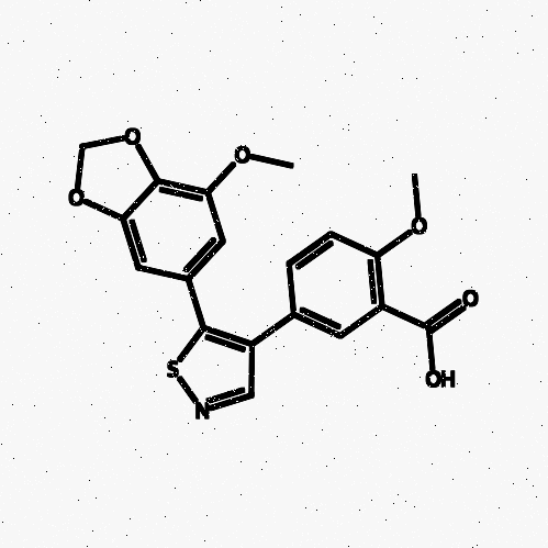 COc1ccc(-c2cnsc2-c2cc(OC)c3c(c2)OCO3)cc1C(=O)O